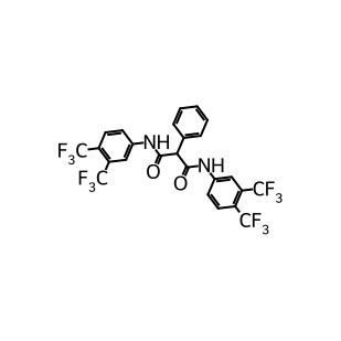 O=C(Nc1ccc(C(F)(F)F)c(C(F)(F)F)c1)C(C(=O)Nc1ccc(C(F)(F)F)c(C(F)(F)F)c1)c1ccccc1